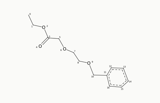 CCOC(=O)COCCOCc1ccccc1